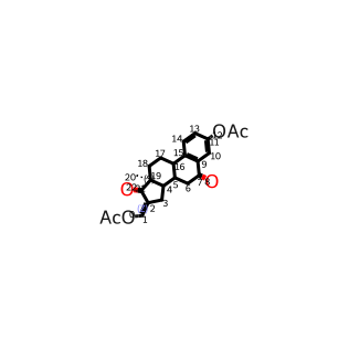 CC(=O)O/C=C1/CC2C3CC(=O)c4cc(OC(C)=O)ccc4C3CC[C@]2(C)C1=O